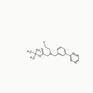 CC(C)(C)OC(=O)CN(CCF)Cc1cccc(-c2nncnn2)c1